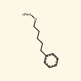 [CH2]CCCCOCCCCCc1ccccc1